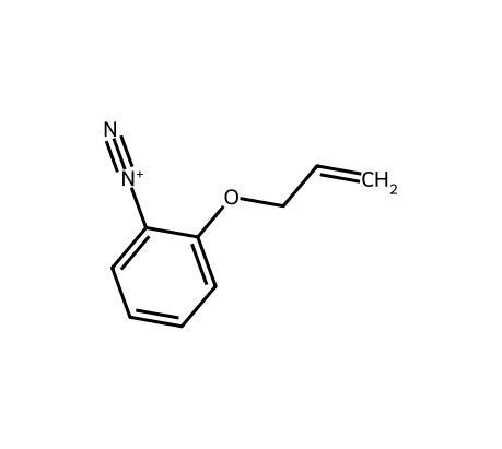 C=CCOc1ccccc1[N+]#N